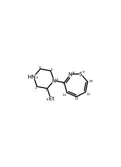 CCC1CNCCN1C1=NSC=CC=C1